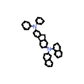 c1ccc(N(c2ccccc2)c2ccc3c(c2)Cc2cc(N(c4ccc5ccccc5c4)c4cccc5ccccc45)ccc2-3)cc1